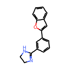 c1cc(C2=NCCN2)cc(-c2cc3ccccc3o2)c1